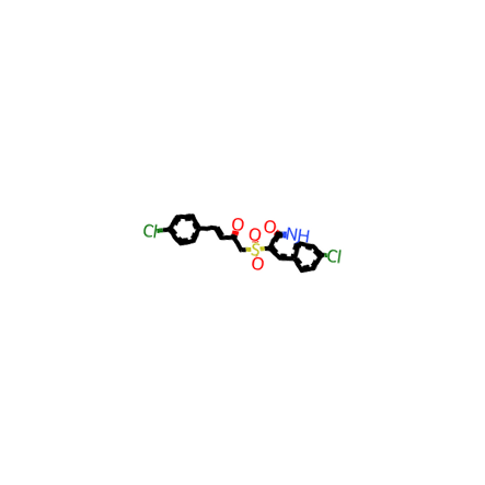 O=C(C=Cc1ccc(Cl)cc1)CS(=O)(=O)c1cc2ccc(Cl)cc2[nH]c1=O